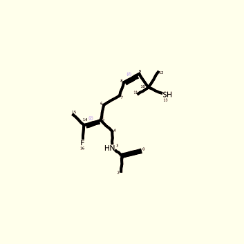 C=C(C)NC/C(CC/C=C\C(C)(C)S)=C(/C)F